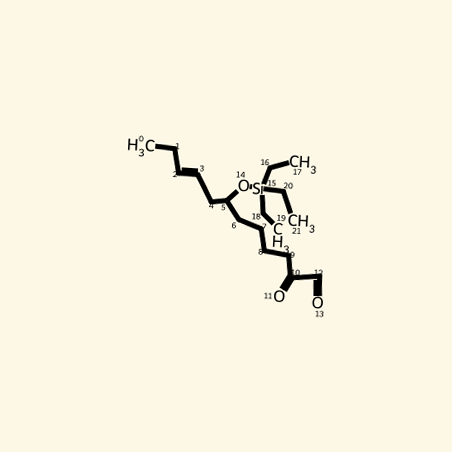 CCC=CCC(CCCCC(=O)C=O)O[Si](CC)(CC)CC